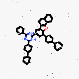 c1ccc(-c2ccc(-c3cc(C4NC(c5ccccc5)NC(c5ccc(-c6ccccc6)cc5)N4)cc4c3oc3c5ccccc5ccc43)cc2)cc1